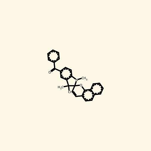 CN1c2ccc(C(=O)c3ccccc3)cc2C(C)(C)C12C=Cc1ccc3ccccc3c1O2